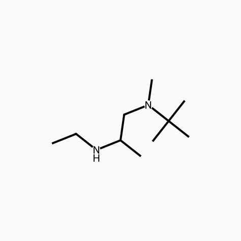 CCNC(C)CN(C)C(C)(C)C